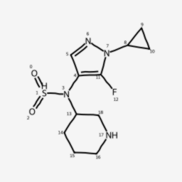 O=[SH](=O)N(c1cnn(C2CC2)c1F)C1CCCNC1